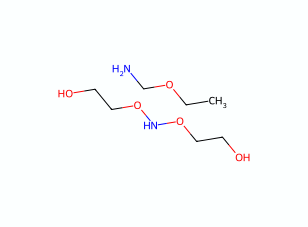 CCOCN.OCCONOCCO